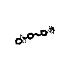 C(=Cc1ccc(-n2nccn2)cc1)c1ccc(-c2nc3ccccc3o2)cc1